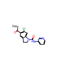 COC(=O)c1cc2c(cc1Cl)N(C(=O)Nc1cccnc1)CC2